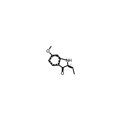 C/C=C1/Nc2cc(OC)ccc2C1=O